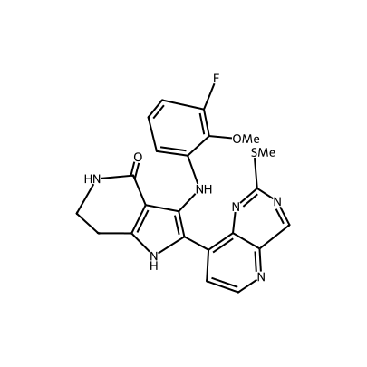 COc1c(F)cccc1Nc1c(-c2ccnc3cnc(SC)nc23)[nH]c2c1C(=O)NCC2